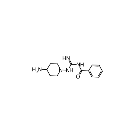 N=C(NC(=O)c1ccccc1)NN1CCC(N)CC1